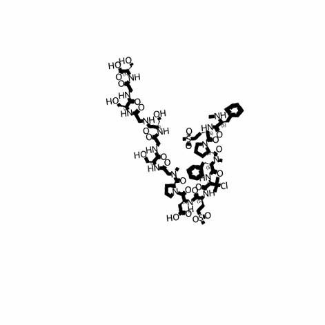 CN[C@@H](Cc1ccccc1)C(=O)N[C@@H](CCS(C)(=O)=O)C(=O)N1CCC[C@H]1C(=O)N(C)[C@@H](Cc1ccccc1)C(=O)N[C@H](C(=O)N[C@@H](CCS(C)(=O)=O)C(=O)N[C@@H](CC(=O)O)C(=O)N1CCC[C@H]1C(=O)N(C)CC(=O)N[C@@H](CO)C(=O)NCC(=O)N[C@@H](CO)C(=O)NCC(=O)N[C@@H](CO)C(=O)NCC(=O)N[C@@H](CO)C(=O)O)C(C)(C)Cl